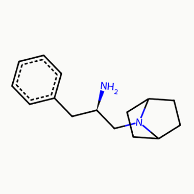 N[C@H](Cc1ccccc1)CN1C2CCC1CC2